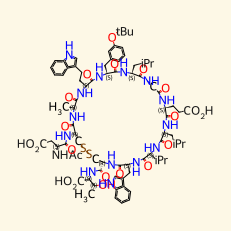 CC(=O)N[C@@H](CC(=O)O)C(=O)N[C@H]1CSSC[C@@H](C(=O)N[C@H](C(=O)O)[C@@H](C)O)NC(=O)[C@H](Cc2c[nH]c3ccccc23)NC(=O)[C@H](C(C)C)NC(=O)[C@H](CC(C)C)NC(=O)[C@H](CCC(=O)O)NC(=O)CNC(=O)[C@H](CC(C)C)NC(=O)[C@H](Cc2cccc(OC(C)(C)C)c2)NC(=O)[C@H](CCc2c[nH]c3ccccc23)NC(=O)[C@H](C)NC1=O